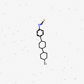 CCC1CCC(C2CCC(c3ccc(N=C=S)cc3)CC2)CC1